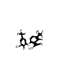 O=C(O)c1c(Oc2cc(C(F)(F)F)cc(Cl)c2F)ccc(C(F)(F)F)c1F